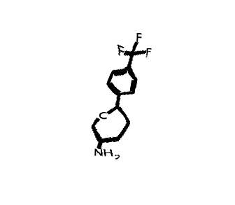 NC1CCC(c2ccc(C(F)(F)F)cc2)CC1